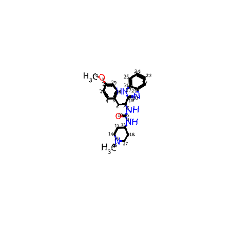 COc1ccc(CC(NC(=O)NC2CCN(C)CC2)c2nc3ccccc3[nH]2)cc1